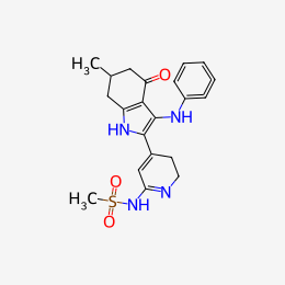 CC1CC(=O)c2c([nH]c(C3=CC(NS(C)(=O)=O)=NCC3)c2NC2=C=C=CC=C2)C1